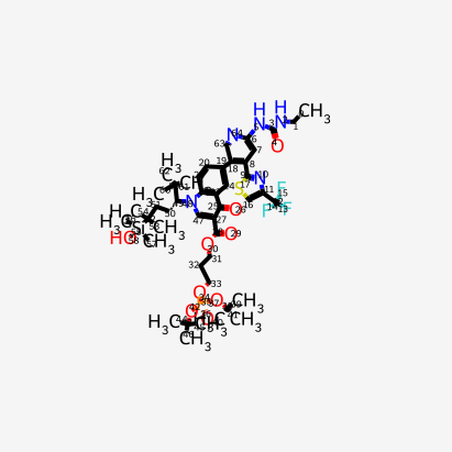 CCNC(=O)Nc1cc(-c2nc(C(F)(F)F)cs2)c(-c2ccc3c(c2)c(=O)c(C(=O)OCCCOP(=O)(OC(C)(C)C)OC(C)(C)C)cn3[C@H](CCC(C)(C)[Si](C)(C)O)C(C)(C)C)cn1